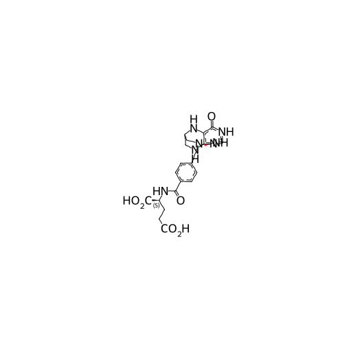 O=C(O)CC[C@H](NC(=O)c1ccc(N2CNc3nc4c(c(=O)[nH]3)NC(CN4)C2)cc1)C(=O)O